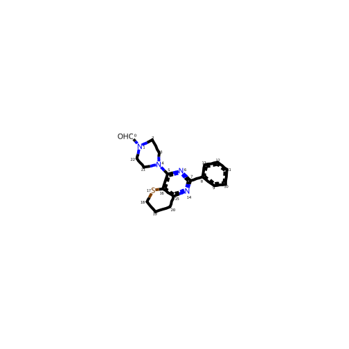 O=CN1CCN(c2nc(-c3ccccc3)nc3c2SCCC3)CC1